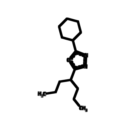 CCCC(CCC)c1nnc(C2CCCCC2)o1